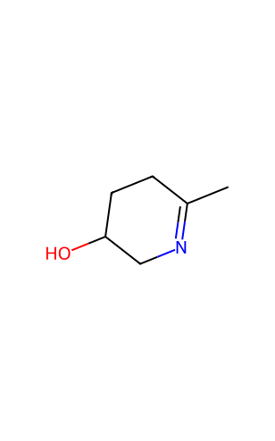 CC1=NCC(O)CC1